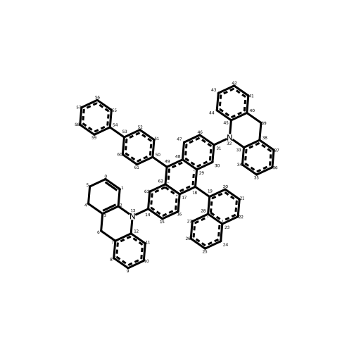 C1=CC2=C(CC1)Cc1ccccc1N2c1ccc2c(-c3cccc4ccccc34)c3cc(N4c5ccccc5Cc5ccccc54)ccc3c(-c3ccc(-c4ccccc4)cc3)c2c1